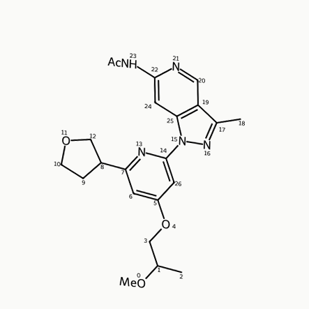 COC(C)COc1cc(C2CCOC2)nc(-n2nc(C)c3cnc(NC(C)=O)cc32)c1